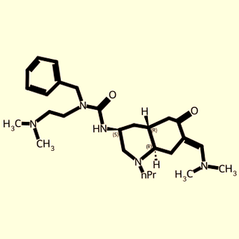 CCCN1C[C@@H](NC(=O)N(CCN(C)C)Cc2ccccc2)C[C@@H]2CC(=O)C(=CN(C)C)C[C@H]21